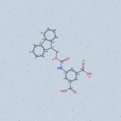 O=C(Nc1cc(C(=O)O)cc(C(=O)O)c1)OCC1c2ccccc2-c2ccccc21